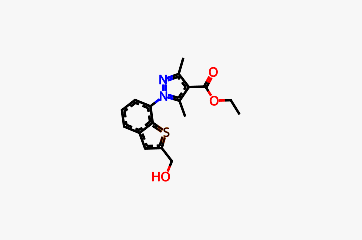 CCOC(=O)c1c(C)nn(-c2cccc3cc(CO)sc23)c1C